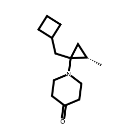 C[C@H]1CC1(CC1CCC1)N1CCC(=O)CC1